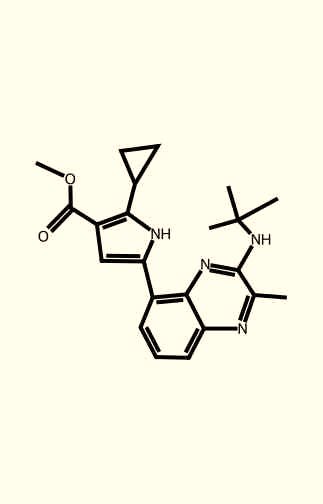 COC(=O)c1cc(-c2cccc3nc(C)c(NC(C)(C)C)nc23)[nH]c1C1CC1